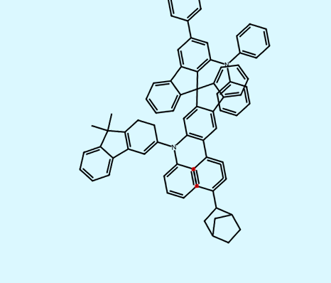 CC1(C)C2=C(C=C(N(c3ccccc3)c3cc4c(cc3C3=C=C=C(C5CC6CCC5C6)C=C3)-c3ccccc3C43c4ccccc4-c4cc(-c5ccccc5)cc(N(c5ccccc5)c5ccccc5)c43)CC2)c2ccccc21